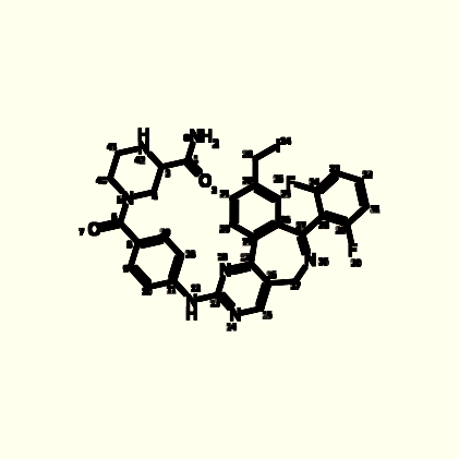 NC(=O)C1CN(C(=O)c2ccc(Nc3ncc4c(n3)-c3ccc(CI)cc3C(c3c(F)cccc3F)=NC4)cc2)CCN1